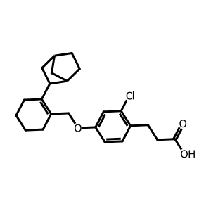 O=C(O)CCc1ccc(OCC2=C(C3CC4CCC3C4)CCCC2)cc1Cl